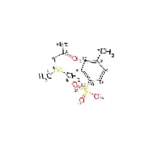 CCC(=O)C[S+](C)C.Cc1ccc(S(=O)(=O)[O-])cc1